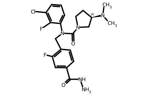 CN(C)[C@@H]1CCN(C(=O)N(Cc2ccc(C(=O)NN)cc2F)c2cccc(Cl)c2F)C1